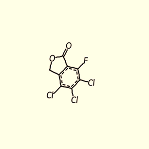 O=C1OCc2c(Cl)c(Cl)c(Cl)c(F)c21